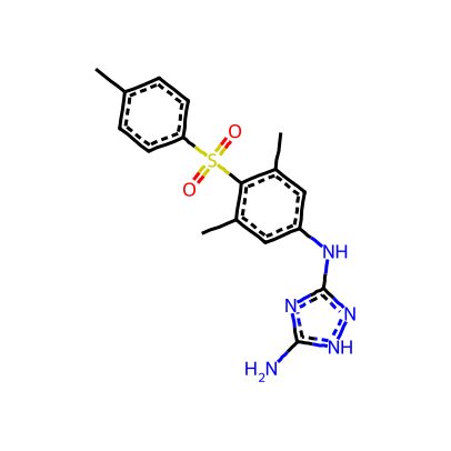 Cc1ccc(S(=O)(=O)c2c(C)cc(Nc3n[nH]c(N)n3)cc2C)cc1